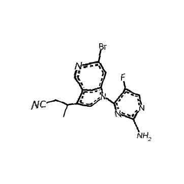 CC(CC#N)c1cn(-c2nc(N)ncc2F)c2cc(Br)ncc12